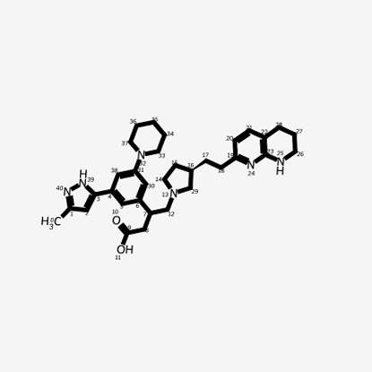 Cc1cc(-c2cc(C(CC(=O)O)CN3CC[C@@H](CCc4ccc5c(n4)NCCC5)C3)cc(N3CCCCC3)c2)[nH]n1